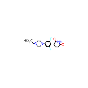 O=C(O)CN1CCN(c2cc(F)c([C@H]3CCC(=O)NC3=O)c(F)c2)CC1